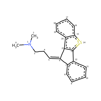 CN(C)CCC=C1c2ccccc2-c2sc3ccccc3c21